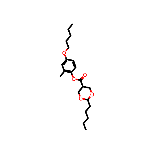 CCCCCOc1ccc(OC(=O)C2COC(CCCCC)OC2)c(C)c1